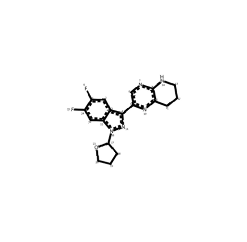 Fc1cc2c(-c3cnc4c(n3)CCCN4)nn(C3CCCO3)c2cc1F